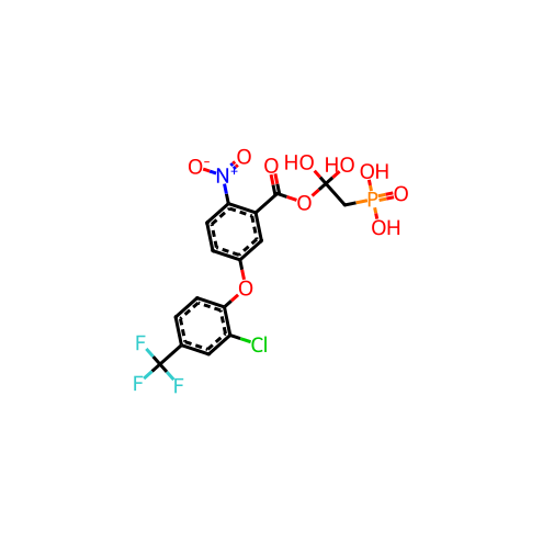 O=C(OC(O)(O)CP(=O)(O)O)c1cc(Oc2ccc(C(F)(F)F)cc2Cl)ccc1[N+](=O)[O-]